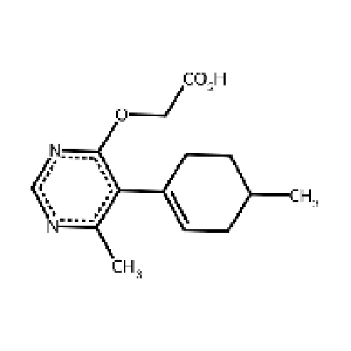 Cc1ncnc(OCC(=O)O)c1C1=CCC(C)CC1